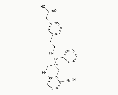 N#Cc1cccc2c1C[C@@H]([C@H](NCCc1cccc(CC(=O)O)c1)c1ccccc1)CN2